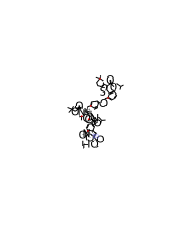 CC(C)COC(=O)c1c(-c2ccccc2COc2ccc(C[C@H]3[C@@H](CN(CC(C)C)S(=O)(=O)c4ccc([N+](=O)[O-])c(/C=C/C(=O)O)c4)OC(C)(C)N3C(=O)OC(C)(C)C)cc2)sc2c1CC(C)(C)CC2